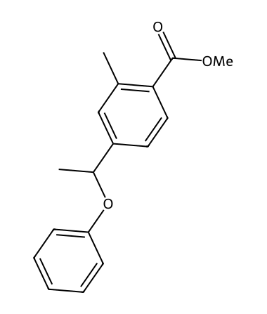 COC(=O)c1ccc(C(C)Oc2ccccc2)cc1C